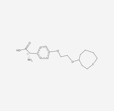 N[C@H](C(=O)O)c1ccc(OCCOC2CCCCCCC2)cc1